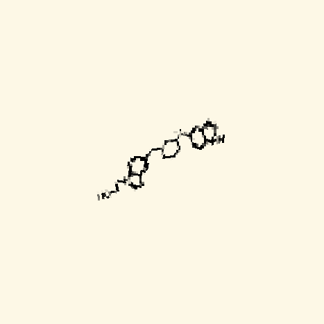 OCCn1ccc2cc(CN3CCCC(Nc4ccc5[nH]ncc5c4)C3)ccc21